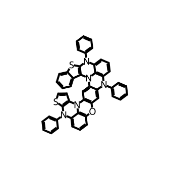 c1ccc(-n2c3cc4oc5cccc6c5n(c4cc3n3c4c2cccc4n(-c2ccccc2)c2sc4ccccc4c23)c2ccsc2n6-c2ccccc2)cc1